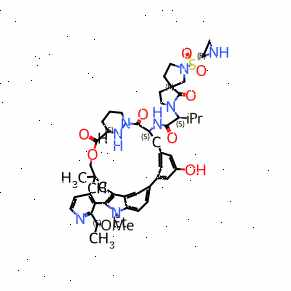 CCn1c(-c2cccnc2[C@H](C)OC)c2c3cc(ccc31)-c1cc(O)cc(c1)C[C@H](NC(=O)[C@H](C(C)C)N1CC[C@]3(CCN(S(=O)(=O)[C@@H]4CN4)C3)C1=O)C(=O)N1CCC[C@H](N1)C(=O)OCC(C)(C)C2